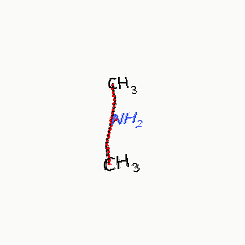 CCCCCCCCCCCCCCCCCCCCCCC(CCN)CCCCCCCCCCCCCCCCCCCCCC